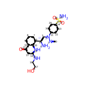 C=NN(/C=C(\N)c1cccc2c(=O)cc(NCCO)[nH]c12)c1ccc(S(N)(=O)=O)cc1